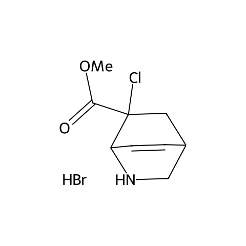 Br.COC(=O)C1(Cl)CC2C=CC1NC2